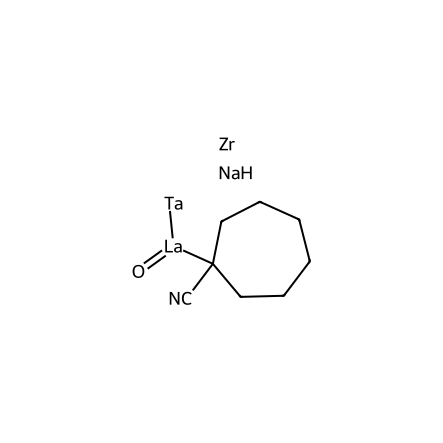 N#C[C]1([La](=[O])[Ta])CCCCCC1.[NaH].[Zr]